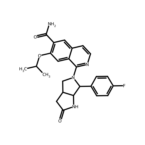 CC(C)Oc1cc2c(N3CC4CC(=O)NC4C3c3ccc(F)cc3)nccc2cc1C(N)=O